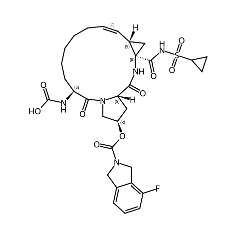 O=C(O)N[C@H]1CCCCC/C=C\[C@@H]2C[C@@]2(C(=O)NS(=O)(=O)C2CC2)NC(=O)[C@@H]2C[C@@H](OC(=O)N3Cc4cccc(F)c4C3)CN2C1=O